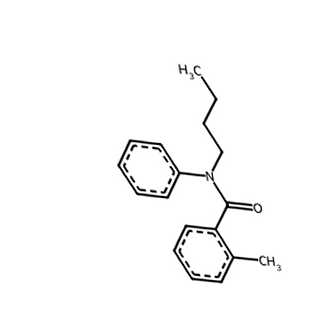 CCCCN(C(=O)c1ccccc1C)c1ccccc1